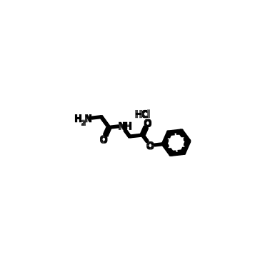 Cl.NCC(=O)NCC(=O)Oc1ccccc1